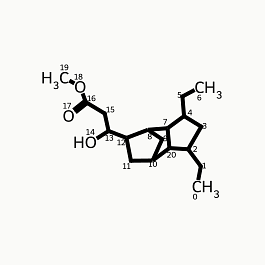 CCC1CC(CC)C2C3CC(CC3C(O)CC(=O)OC)C12